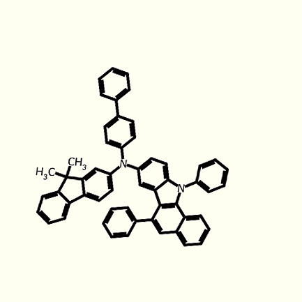 CC1(C)c2ccccc2-c2ccc(N(c3ccc(-c4ccccc4)cc3)c3ccc4c(c3)c3c(-c5ccccc5)cc5ccccc5c3n4-c3ccccc3)cc21